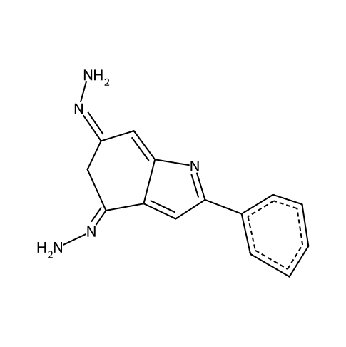 NN=C1C=C2N=C(c3ccccc3)C=C2C(=NN)C1